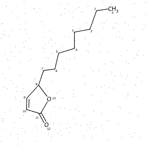 CCCCCCCCC1C=CC(=O)O1